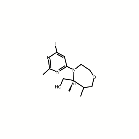 Cc1nc(I)cc(N2CCOCC(C)[C@]2(C)CO)n1